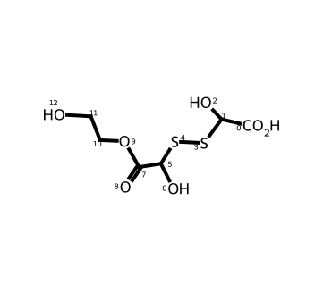 O=C(O)C(O)SSC(O)C(=O)OCCO